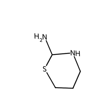 NC1NCCCS1